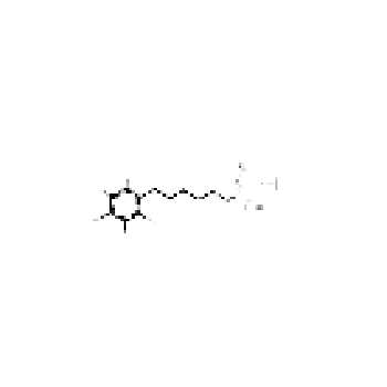 CO[Si](O)(CCCCCCc1c(F)c(F)c(F)c(F)c1F)OC